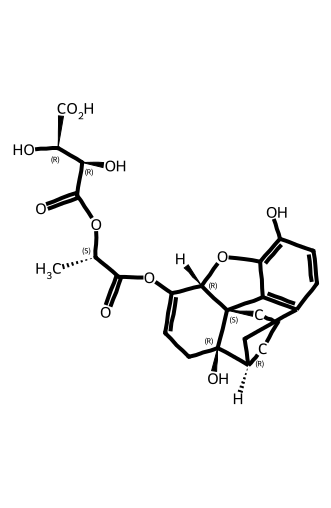 C[C@H](OC(=O)[C@H](O)[C@@H](O)C(=O)O)C(=O)OC1=CC[C@@]2(O)[C@@H]3CCC[C@@]24c2c(ccc(O)c2O[C@@H]14)C3